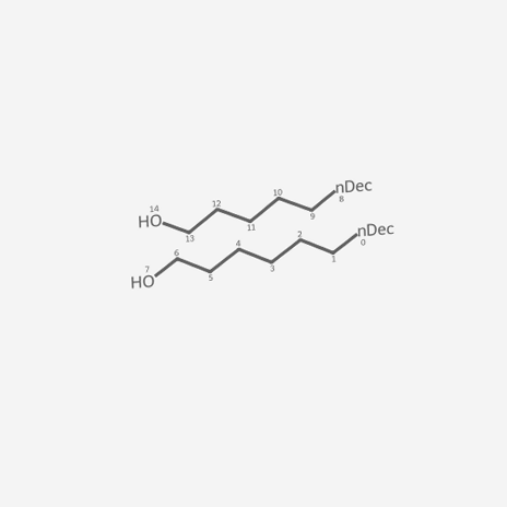 CCCCCCCCCCCCCCCCO.CCCCCCCCCCCCCCCO